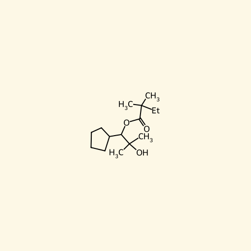 CCC(C)(C)C(=O)OC(C1CCCC1)C(C)(C)O